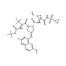 C=C[C@@H]1C[C@]1(NC(=O)[C@@H]1C[C@@H](Oc2nc(C)nc3ccc(OC)cc23)CN1C(=O)[C@@H](NC(=O)OC(C)(C)C)C(C)(C)C)C(=O)NS(=O)(=O)C1CC1